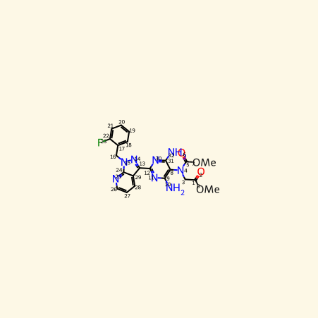 COC(=O)CN(C(=O)OC)c1c(N)nc(-c2nn(Cc3ccccc3F)c3ncccc23)nc1N